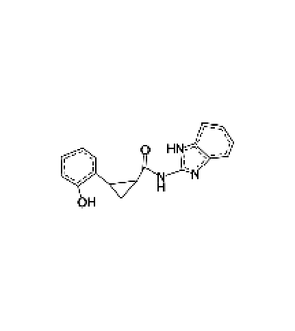 O=C(Nc1nc2ccccc2[nH]1)C1CC1c1ccccc1O